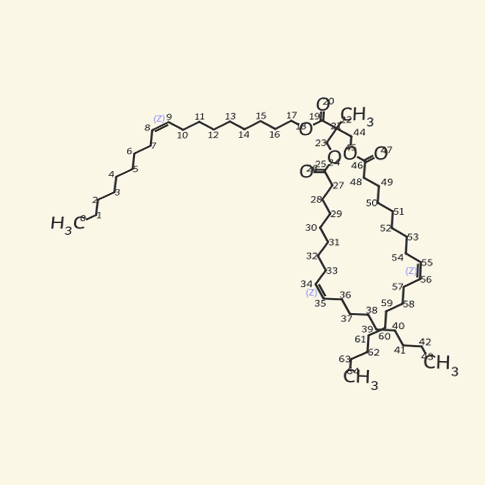 CCCCCCCC/C=C\CCCCCCCCOC(=O)C(C)(COC(=O)CCCCCCC/C=C\CCCCCCCC)COC(=O)CCCCCCC/C=C\CCCCCCCC